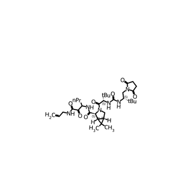 C=CCNC(=O)C(=O)C(CCC)NC(=O)[C@@H]1[C@@H]2[C@H](CN1C(=O)[C@@H](NC(=O)N[C@H](CN1C(=O)CCC1=O)C(C)(C)C)C(C)(C)C)C2(C)C